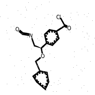 O=C=NC[C@H](OCc1ccccc1)c1ccc(C(=O)Cl)cc1